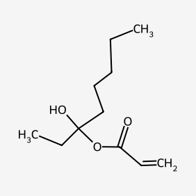 C=CC(=O)OC(O)(CC)CCCCC